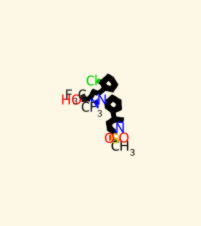 CS(=O)(=O)c1ccc(-c2cccc(N3N=C(C(O)(C(F)(F)F)C(F)(F)F)CC3c3ccccc3Cl)c2)cn1